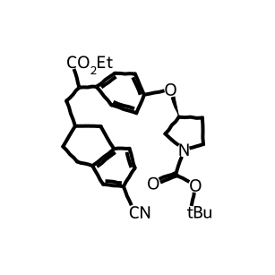 CCOC(=O)C(CC1CCc2cc(C#N)ccc2C1)c1ccc(O[C@H]2CCN(C(=O)OC(C)(C)C)C2)cc1